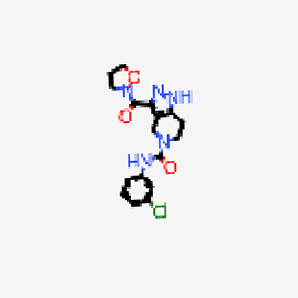 O=C(Nc1cccc(Cl)c1)N1CCc2[nH]nc(C(=O)N3CCCO3)c2C1